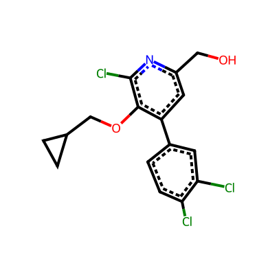 OCc1cc(-c2ccc(Cl)c(Cl)c2)c(OCC2CC2)c(Cl)n1